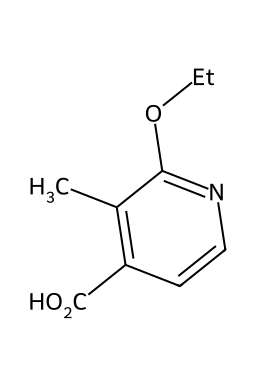 CCOc1nccc(C(=O)O)c1C